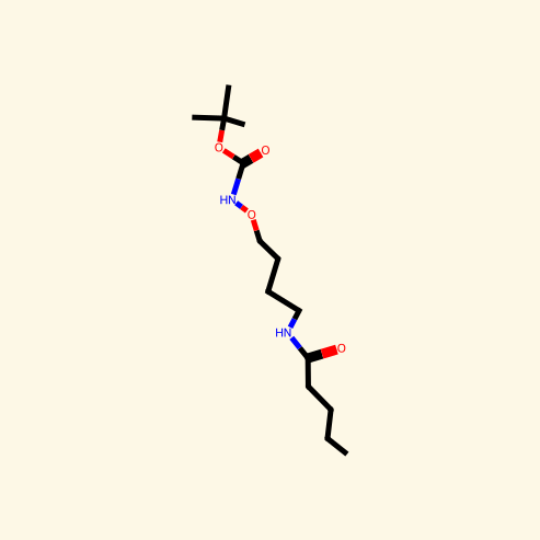 CCCCC(=O)NCCCCONC(=O)OC(C)(C)C